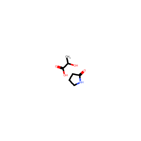 CC(O)C(=O)O.O=C1CCCN1